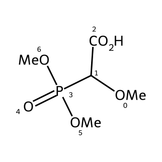 COC(C(=O)O)P(=O)(OC)OC